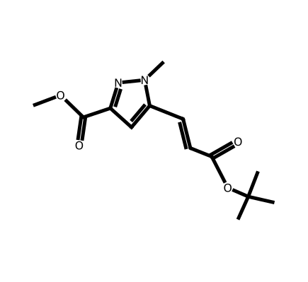 COC(=O)c1cc(C=CC(=O)OC(C)(C)C)n(C)n1